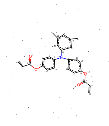 C=CC(=O)Oc1ccc(N(c2ccc(OC(=O)C=C)cc2)c2cc(C)cc(C)c2)cc1